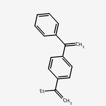 C=C(CC)c1ccc(C(=C)c2ccccc2)cc1